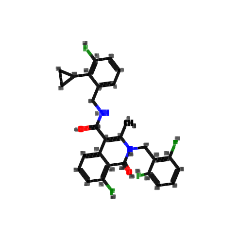 Cc1c(C(=O)NCc2cccc(F)c2C2CC2)c2cccc(F)c2c(=O)n1Cc1c(F)cccc1F